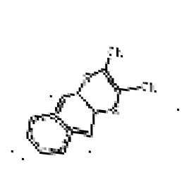 N#CC1=C(C#N)SC2C=c3ccccc3=CC2S1